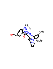 COc1cc(NC(C(=O)c2nn(C)c3ccc(CCO)cc23)c2cc3ccccn3n2)cc(OC)c1